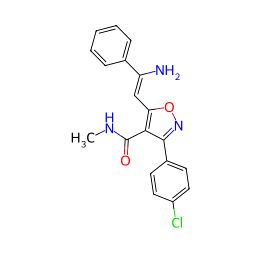 CNC(=O)c1c(-c2ccc(Cl)cc2)noc1C=C(N)c1ccccc1